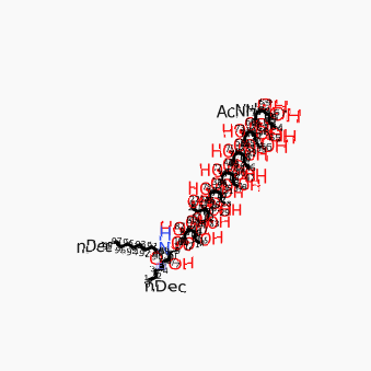 CCCCCCCCCCCCC/C=C/[C@@H](O)[C@H](CO[C@@H]1OC(CO)[C@@H](O[C@@H]2OC(CO)[C@H](O[C@@H]3OC(CO)[C@H](O)[C@H](O[C@H]4OC(CO)[C@H](O)[C@H](O[C@H]5OC(CO)[C@H](O)[C@H](O[C@H]6OC(CO)[C@H](O)[C@H](O[C@@H]7OC(CO)[C@H](O)[C@H](O)C7NC(C)=O)C6O)C5O)C4O)C3O)[C@H](O)C2O)[C@H](O)C1O)NC(=O)CCCCCCCCCCCCCCCCC